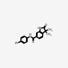 CC(C)c1ccc(NC(=O)c2ccc3c(c2)NC(=O)C3(C)C)cc1